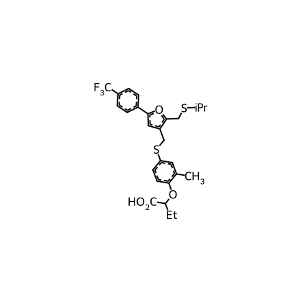 CCC(Oc1ccc(SCc2cc(-c3ccc(C(F)(F)F)cc3)oc2CSC(C)C)cc1C)C(=O)O